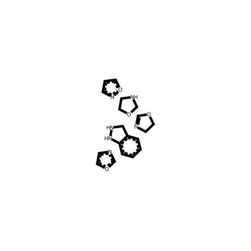 C1=NCCO1.C1COCN1.c1ccc2c(c1)CNN2.c1cnoc1.c1cocn1